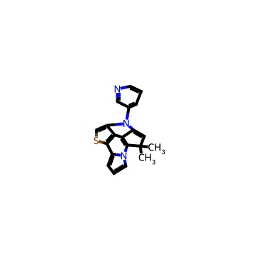 CC1(C)C=c2c3c1n1cccc1c1scc(c31)n2-c1cccnc1